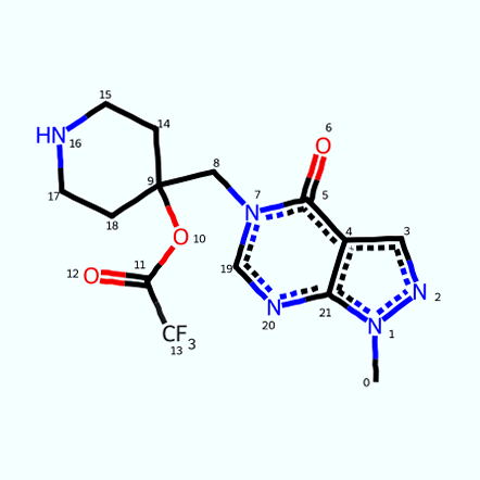 Cn1ncc2c(=O)n(CC3(OC(=O)C(F)(F)F)CCNCC3)cnc21